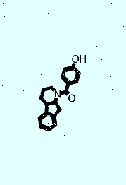 O=C(c1ccc(O)cc1)N1CCCC2c3ccccc3CC21